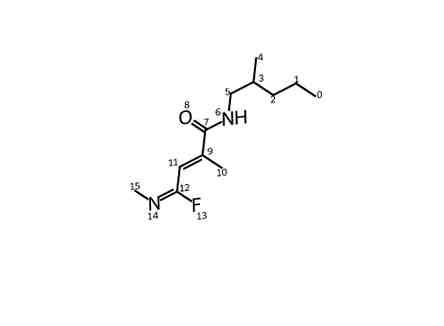 CCCC(C)CNC(=O)/C(C)=C/C(F)=N\C